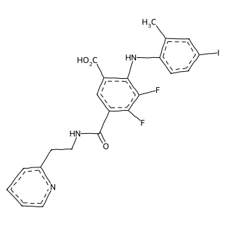 Cc1cc(I)ccc1Nc1c(C(=O)O)cc(C(=O)NCCc2ccccn2)c(F)c1F